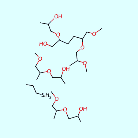 CCC[SiH3].COCC(C)OCC(C)O.COCC(C)OCC(C)O.COCC(CCC(CO)OCC(C)O)OCC(C)OC